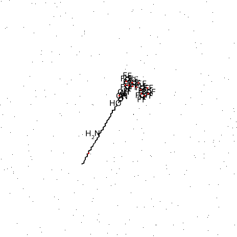 CCCCCCCCCCCCCCCCCCC(N)CCCCCCCCCCCCCCCCCC.Fc1c(F)c(F)c(B(c2c(F)c(F)c(F)c(F)c2F)c2c(F)c(F)c(F)c(F)c2F)c(F)c1F.Fc1c(F)c(F)c(B(c2c(F)c(F)c(F)c(F)c2F)c2c(F)c(F)c(F)c(F)c2F)c(F)c1F.O=C(O)C1(c2ccc(O)cc2)N=CC=N1